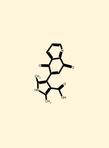 Cc1[nH]c(C)c(C2=CC(=O)c3ncccc3C2=O)c1C(=O)O